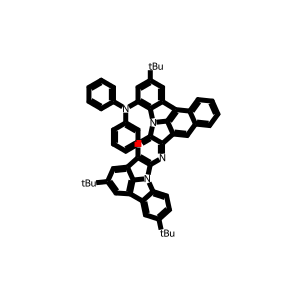 CC(C)(C)c1ccc2c(c1)c1cc(C(C)(C)C)cc3c4nc5c(nc4n2c13)c1cc2ccccc2c2c3cc(C(C)(C)C)cc(N(c4ccccc4)c4ccccc4)c3n5c12